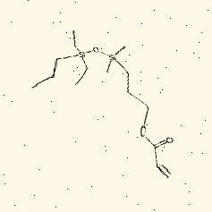 C=CC(=O)OCCC[Si](C)(C)O[Si](C)(CC)CCC